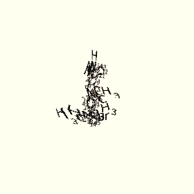 Cc1c(C)n(Cc2ccc(-c3ccccc3-c3nnn[nH]3)cc2)c2ccc(C(=O)NC(C)c3cccc(Br)c3)cc12